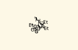 C=CC[n+]1ccn(CC)c1CC.CCOS(=O)(=O)[O-]